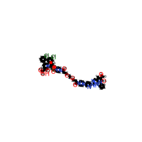 CC(=O)c1c(C)c2cnc(Nc3ccc(N4CCN(C(=O)CCOCCOCCC(=O)N5CCN(S(=O)(=O)C[C@@H](N6C(=O)[C@@](C)(CC(=O)O)C[C@H](c7cccc(Cl)c7)[C@H]6c6ccc(Cl)cc6)C(C)(C)C)CC5)CC4)cn3)nc2n(C2CCCC2)c1=O